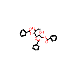 CC(=O)C(=O)[C@@H](OC(=O)c1ccccc1)[C@@H](OC(=O)c1ccccc1)[C@@H](O)COC(=O)c1ccccc1